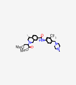 COCC(C(=O)OC)N1Cc2cc(C(=O)Nc3ccc(CN4CCN(C)CC4)c(C(F)(F)F)c3)ccc2[C@@H](C)C1